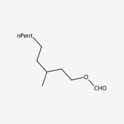 CCCCCCCC(C)CCOC=O